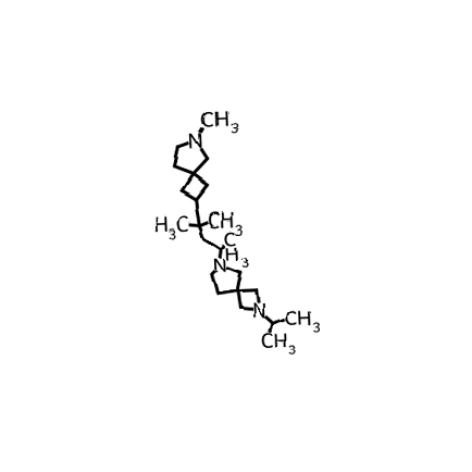 CC(C)N1CC2(CCN(C(C)CC(C)(C)C3CC4(CCN(C)C4)C3)C2)C1